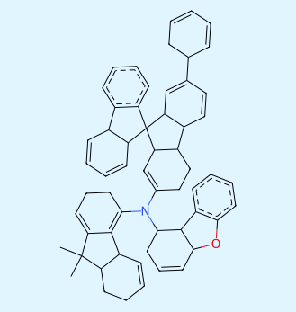 CC1(C)C2=CCCC(N(C3=CC4C(CC3)C3C=CC(C5C=CC=CC5)=CC3C43c4ccccc4C4C=CC=CC43)C3CC=CC4Oc5ccccc5C43)=C2C2C=CCCC21